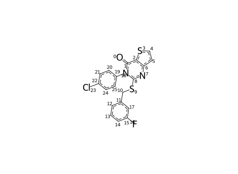 O=c1c2sccc2nc(SCc2cccc(F)c2)n1-c1ccc(Cl)cc1